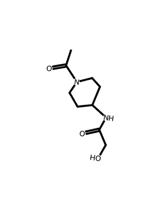 CC(=O)N1CCC(NC(=O)CO)CC1